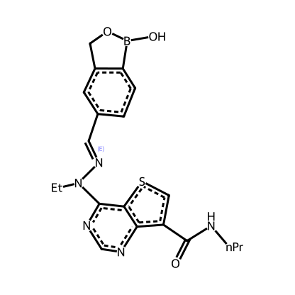 CCCNC(=O)c1csc2c(N(CC)/N=C/c3ccc4c(c3)COB4O)ncnc12